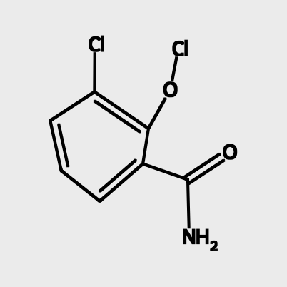 NC(=O)c1cccc(Cl)c1OCl